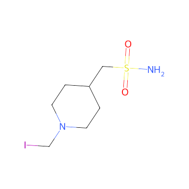 NS(=O)(=O)CC1CCN(CI)CC1